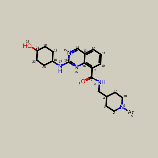 CC(=O)N1CCC(CNC(=O)c2cccc3cnc(NC4CCC(O)CC4)nc23)CC1